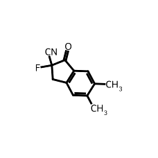 Cc1cc2c(cc1C)C(=O)C(F)(C#N)C2